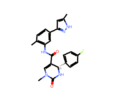 Cc1cc(-c2ccc(C)c(NC(=O)C3=CN(C)C(=O)N[C@H]3c3ccc(F)cc3)c2)n[nH]1